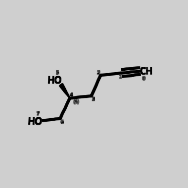 C#CCC[C@H](O)CO